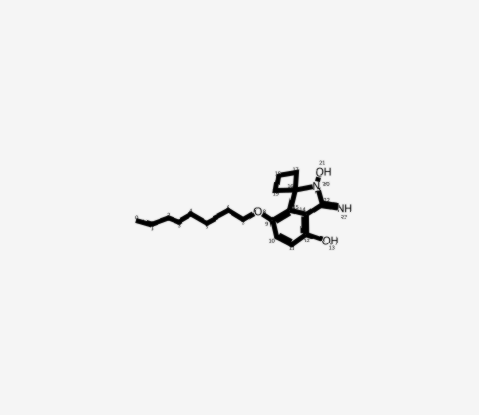 CCCCCCCCOc1ccc(O)c2c1C1(CCC1)N(O)C2=N